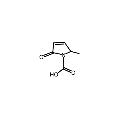 CC1C=CC(=O)N1C(=O)O